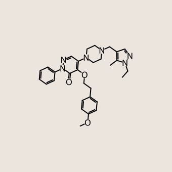 CCn1ncc(CN2CCN(c3cnn(-c4ccccc4)c(=O)c3OCCc3ccc(OC)cc3)CC2)c1C